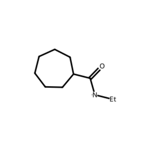 CC[N]C(=O)C1CCCCCC1